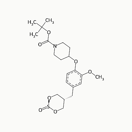 COc1cc(C[C@H]2CO[S@](=O)OC2)ccc1OC1CCN(C(=O)OC(C)(C)C)CC1